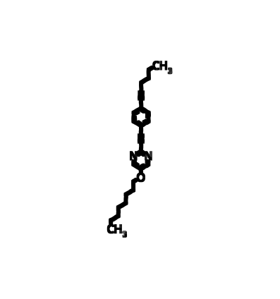 CCCCC#Cc1ccc(C#Cc2ncc(OCCCCCCCC)cn2)cc1